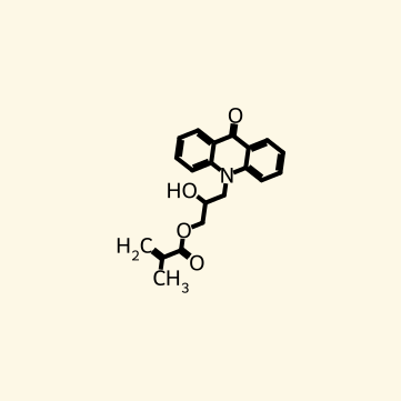 C=C(C)C(=O)OCC(O)Cn1c2ccccc2c(=O)c2ccccc21